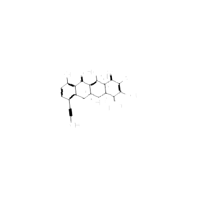 CC#Cc1ccc(O)c2c1C[C@]1(C)C[C@]3(C)C(C(C)C)C(O)=C(C(C)=O)C(=O)[C@]3(O)C(O)=C1C2=O